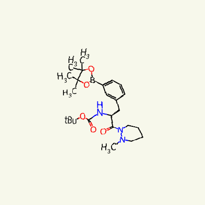 CN1CCCCN1C(=O)[C@H](Cc1cccc(B2OC(C)(C)C(C)(C)O2)c1)NC(=O)OC(C)(C)C